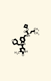 Cc1cc(-c2nc3cc(CN[C@@H](CCC(C)C)C(=O)OC4CCC4)ccc3n2CC2CCOCC2)c[nH]c1=O